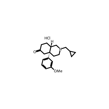 COc1cccc([C@@]23CCN(CC4CC4)C[C@H]2CCC(=O)C3)c1.Cl